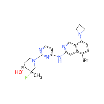 CC(C)c1ccc(N2CCC2)c2cnc(Nc3ccnc(N4CC[C@@H](O)[C@@](C)(F)C4)n3)cc12